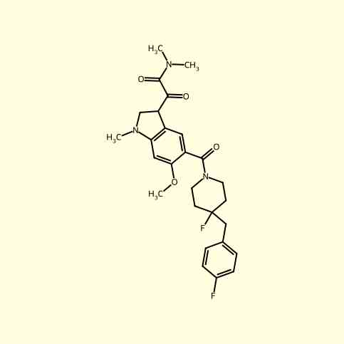 COc1cc2c(cc1C(=O)N1CCC(F)(Cc3ccc(F)cc3)CC1)C(C(=O)C(=O)N(C)C)CN2C